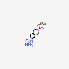 CC(C)(C)OC(=O)N1CCc2ccc(-n3cn[nH]c3=O)cc2CC1